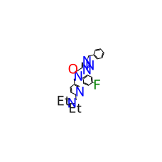 CCN(CC)Cc1ccc(CN(C(=O)c2cn(Cc3ccccc3)nn2)c2ccc(F)cc2)cn1